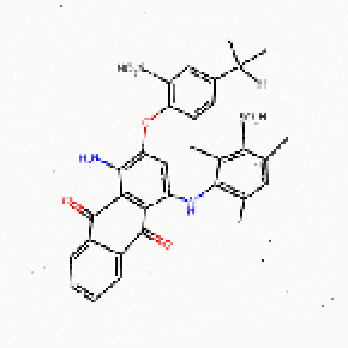 CCC(C)(C)c1ccc(Oc2cc(Nc3c(C)cc(C)c(S(=O)(=O)O)c3C)c3c(c2N)C(=O)c2ccccc2C3=O)c(S(=O)(=O)O)c1